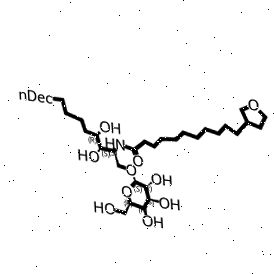 CCCCCCCCCCCCCC[C@@H](O)[C@@H](O)[C@H](CO[C@H]1O[C@H](CO)[C@H](O)[C@H](O)[C@H]1O)NC(=O)CCCCCCCCCCC1CCOC1